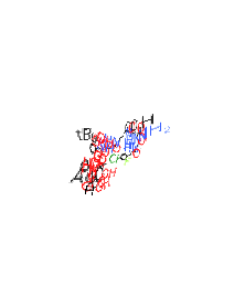 CC(=O)C[C@@]12CO[C@@H]1C[C@H](O)[C@@]1(C)C(=O)[C@H](O)C3=C(C)[C@@H](OC(=O)[C@H](OC(=O)CCC(=O)NCCCCC(NC(=O)CC[C@@H](NC(=O)[C@H](C)NC(=O)/C=C/c4ccc(Cl)cc4F)C(N)=O)C(=O)O)[C@@H](NC(O)OC(C)(C)C)c4ccccc4)C[C@@](O)([C@@H](OC(=O)c4ccccc4)[C@H]21)C3(C)C